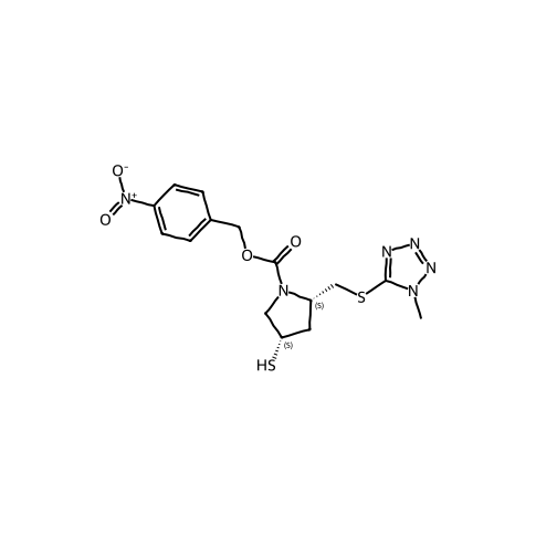 Cn1nnnc1SC[C@@H]1C[C@H](S)CN1C(=O)OCc1ccc([N+](=O)[O-])cc1